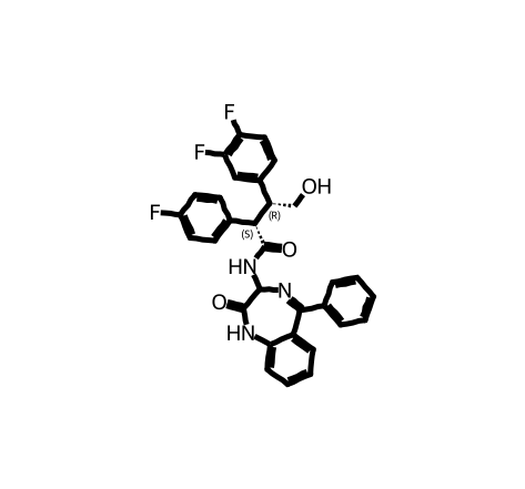 O=C1Nc2ccccc2C(c2ccccc2)=NC1NC(=O)[C@H](c1ccc(F)cc1)[C@@H](CO)c1ccc(F)c(F)c1